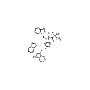 CC(C)(N)C(=O)N[C@H](CC1C=Nc2ccccc21)c1nnc(CCc2c[nH]c3ccccc23)n1CCC1C=Nc2ccccc21